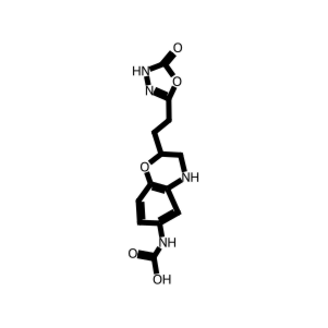 O=C(O)Nc1ccc2c(c1)NCC(CCc1n[nH]c(=O)o1)O2